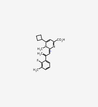 C=C(/C=C1/N=C(C(=O)O)C=C(C2CCC2)N1C)c1cccc(C)c1F